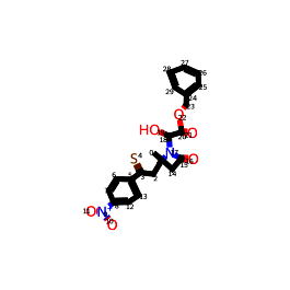 CC1(CC(=S)c2ccc([N+](=O)[O-])cc2)CC(=O)N1C(O)C(=O)OCc1ccccc1